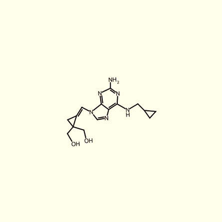 Nc1nc(NCC2CC2)c2ncn(/C=C3/CC3(CO)CO)c2n1